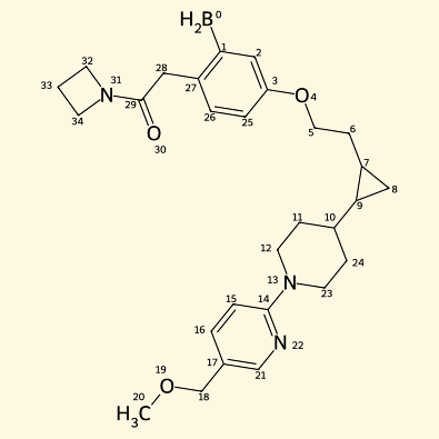 Bc1cc(OCCC2CC2C2CCN(c3ccc(COC)cn3)CC2)ccc1CC(=O)N1CCC1